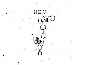 Cc1cc(S(=O)(=O)Nc2cccc(-c3ccc(C(=O)NC(CC(=O)O)Cc4ccccc4)cc3)c2)c(C)cc1Cl